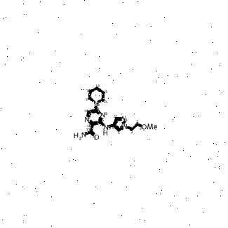 COCCn1cc(Nc2nc(N3CCCCC3)cnc2C(N)=O)cn1